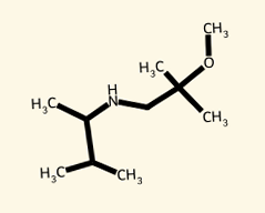 COC(C)(C)CNC(C)C(C)C